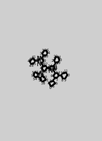 c1ccc(-c2cc(-c3ccccc3)cc(-c3nc(-c4ccccc4)cc(-c4cc(-c5cc(-c6ccccc6)nc(-c6ccccc6)n5)cc(-n5c6ccccc6c6ccccc65)c4)n3)c2)cc1